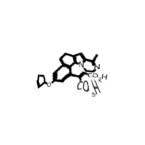 CC1=NCCn2c1cc1c2-c2c(cc(OC3CCCC3)cc2C(=CC(=O)O)C(=O)O)CC1